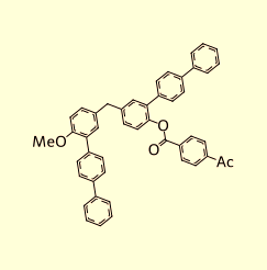 COc1ccc(Cc2ccc(OC(=O)c3ccc(C(C)=O)cc3)c(-c3ccc(-c4ccccc4)cc3)c2)cc1-c1ccc(-c2ccccc2)cc1